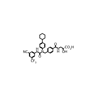 N#Cc1cc(NC(=O)N(Cc2ccc(C(=O)NC[C@@H](O)C(=O)O)cc2)c2ccc(C3CCCCC3)cc2)cc(C(F)(F)F)c1